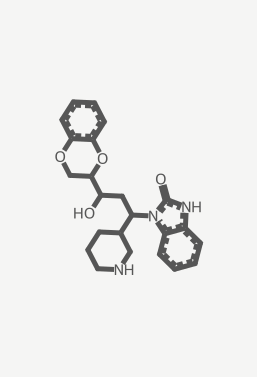 O=c1[nH]c2ccccc2n1C(CC(O)C1COc2ccccc2O1)C1CCCNC1